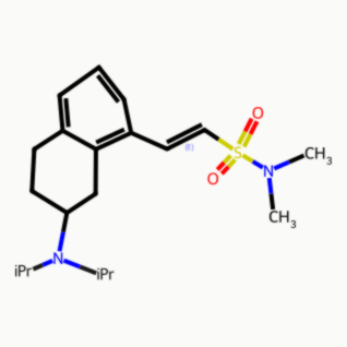 CC(C)N(C(C)C)C1CCc2cccc(/C=C/S(=O)(=O)N(C)C)c2C1